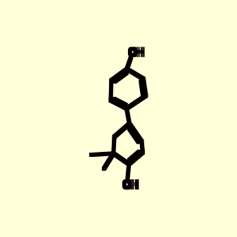 CC1(C)CC(c2ccc(O)cc2)=CC=C1O